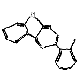 Fc1ccccc1-c1ncc2[nH]c3ccccc3c2n1